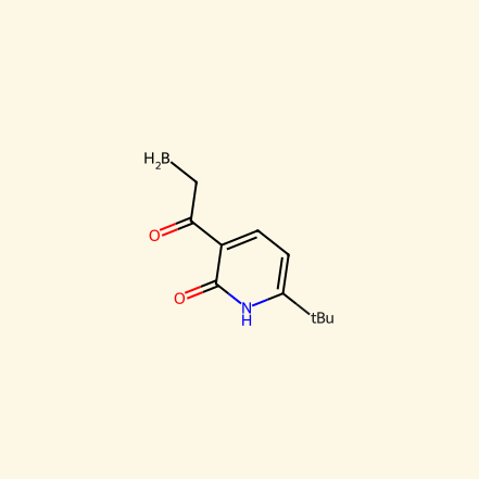 BCC(=O)c1ccc(C(C)(C)C)[nH]c1=O